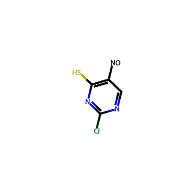 O=Nc1cnc(Cl)nc1S